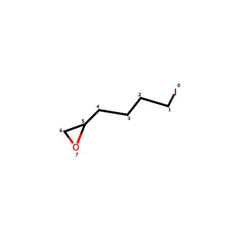 ICCCCC1CO1